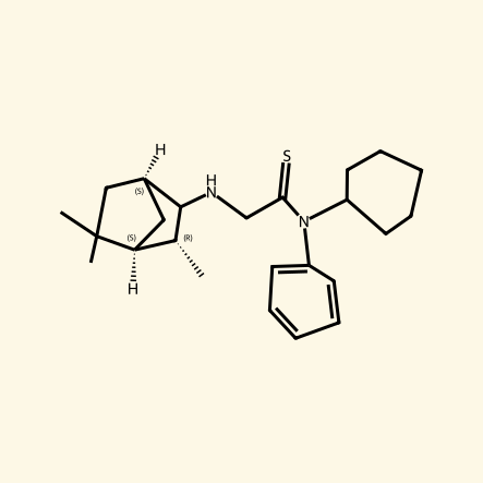 C[C@H]1C(NCC(=S)N(c2ccccc2)C2CCCCC2)[C@H]2C[C@@H]1C(C)(C)C2